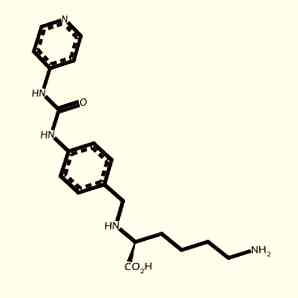 NCCCC[C@H](NCc1ccc(NC(=O)Nc2ccncc2)cc1)C(=O)O